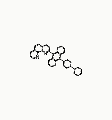 c1ccc(-c2ccc(-c3c4ccccc4c(-c4ccc5ccc6cccnc6c5n4)c4ccccc34)cc2)cc1